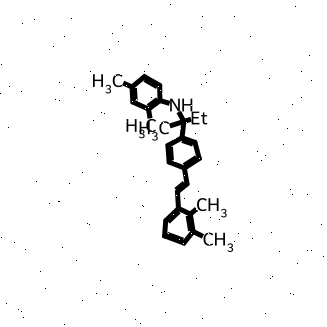 CCC(C)(Nc1ccc(C)cc1C)c1ccc(C=Cc2cccc(C)c2C)cc1